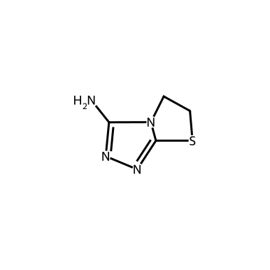 Nc1nnc2n1CCS2